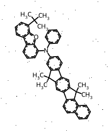 CC(C)(C)c1cccc2c1oc1c(N(c3ccccc3)c3ccc4c(c3)C(C)(C)c3cc5c(cc3-4)C(C)(C)c3c-5ccc4ccccc34)cccc12